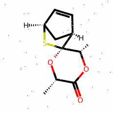 C[C@@H]1O[C@@]2(S[C@H]3C=C[C@@H]2C3)[C@H](C)OC1=O